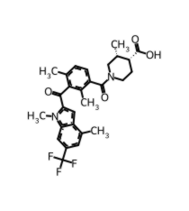 Cc1ccc(C(=O)N2CC[C@@H](C(=O)O)[C@@H](C)C2)c(C)c1C(=O)c1cc2c(C)cc(C(F)(F)F)cc2n1C